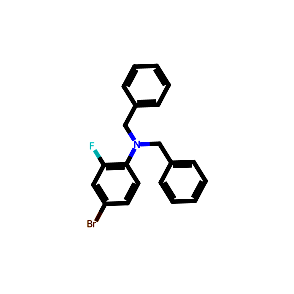 Fc1cc(Br)ccc1N(Cc1ccccc1)Cc1ccccc1